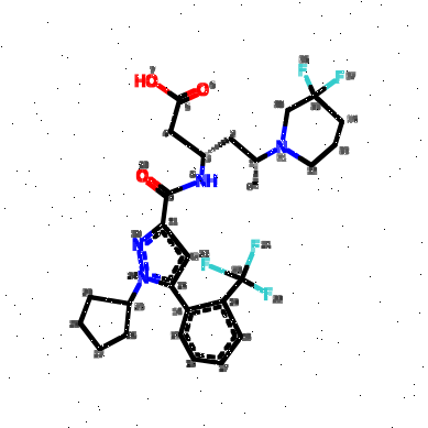 C[C@H](C[C@@H](CC(=O)O)NC(=O)c1cc(-c2ccccc2C(F)(F)F)n(C2CCCC2)n1)N1CCCC(F)(F)C1